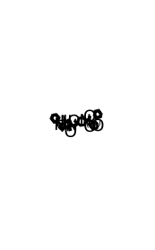 O=C([C@H]1OCCO[C@H]1c1ccccc1)N1CCC(O)(Cn2cnc3c(ccn3-c3ccccc3)c2=O)CC1